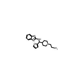 NCCN1CCC(C(Nc2nc3ccccc3[nH]2)c2ccco2)CC1